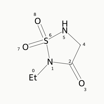 CCN1C(=O)CNS1(=O)=O